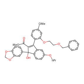 CCCOc1ccc2c(c1)C(c1ccc(OC)cc1OCCOCc1ccccc1)=C(C(=O)OC)C2(O)c1ccc2c(c1)OCO2